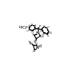 Cl.FC1CN(C(I)(c2ccccc2)c2ccccc2)C1.FC1CNC1